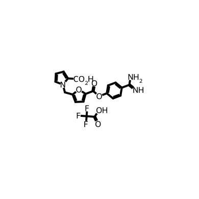 N=C(N)c1ccc(OC(=O)c2ccc(Cn3cccc3C(=O)O)o2)cc1.O=C(O)C(F)(F)F